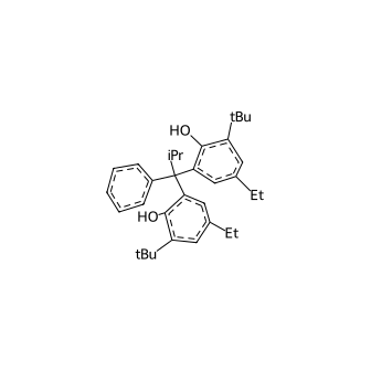 CCc1cc(C(C)(C)C)c(O)c(C(c2ccccc2)(c2cc(CC)cc(C(C)(C)C)c2O)C(C)C)c1